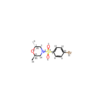 C[C@@H]1CN(S(=O)(=O)c2ccc(Br)cc2)C[C@@H](C)O1